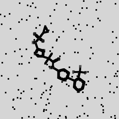 CC(C)(C(=O)Nc1ccc(-c2cnccc2C(F)(F)F)cc1)c1csc(NS(=O)(=O)C2CC2)n1